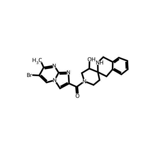 Cc1nc2nc(C(=O)N3CCC4(Cc5ccccc5CN4)C(O)C3)cn2cc1Br